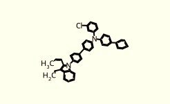 C=Cc1c(/C=C\C)n(-c2ccc(-c3ccc(N(c4ccc(-c5ccccc5)cc4)c4cccc(Cl)c4)cc3)cc2)c2ccccc12